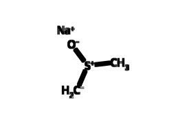 [CH2-][S+](C)[O-].[Na+]